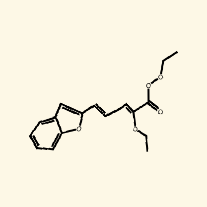 CCOOC(=O)C(=CC=Cc1cc2ccccc2o1)OCC